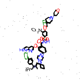 C/C(CC1(N2CCN(c3ccc(C(=O)NS(=O)(=O)c4ccc(OCC5(F)CCN(C6CCOCC6)CC5)c([N+](=O)[O-])c4)c(Oc4cnc5[nH]ccc5c4)c3)CC2)CCC1)=C(\CC(C)C)c1ccc(Cl)cc1